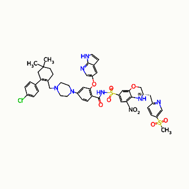 CC1(C)CCC(CN2CCN(c3ccc(C(=O)NS(=O)(=O)c4cc5c(c([N+](=O)[O-])c4)N[C@@H](Cc4ccc(S(C)(=O)=O)cn4)CO5)c(Oc4cnc5[nH]ccc5c4)c3)CC2)=C(c2ccc(Cl)cc2)C1